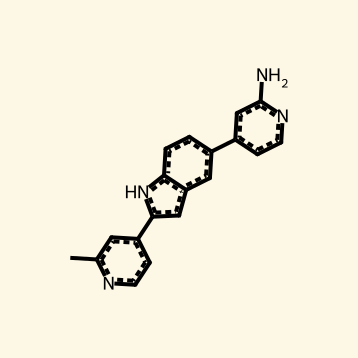 Cc1cc(-c2cc3cc(-c4ccnc(N)c4)ccc3[nH]2)ccn1